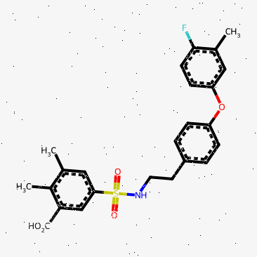 Cc1cc(Oc2ccc(CCNS(=O)(=O)c3cc(C)c(C)c(C(=O)O)c3)cc2)ccc1F